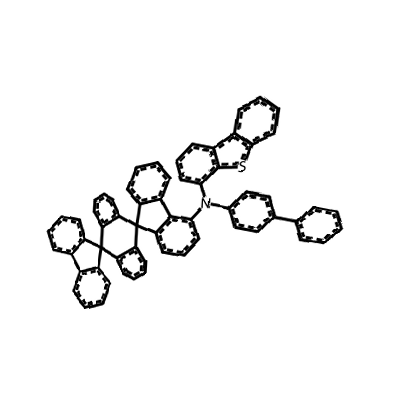 c1ccc(-c2ccc(N(c3cccc4c3-c3ccccc3C43c4ccccc4C4(c5ccccc5-c5ccccc54)c4ccccc43)c3cccc4c3sc3ccccc34)cc2)cc1